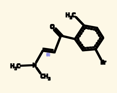 Cc1ccc(Br)cc1C(=O)/C=C/N(C)C